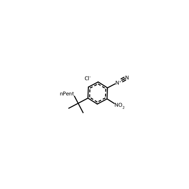 CCCCCC(C)(C)c1ccc([N+]#N)c([N+](=O)[O-])c1.[Cl-]